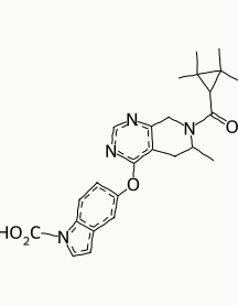 CC1Cc2c(ncnc2Oc2ccc3c(ccn3C(=O)O)c2)CN1C(=O)C1C(C)(C)C1(C)C